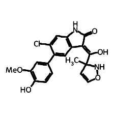 COc1cc(-c2cc3c(cc2Cl)NC(=O)C3=C(O)C2(C)C=CON2)ccc1O